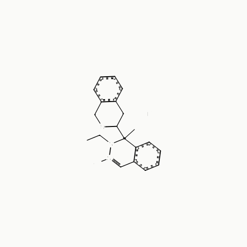 CCN1[N+]([O-])=Cc2ccccc2C1(C)C1Cc2ccccc2CN1.Cl